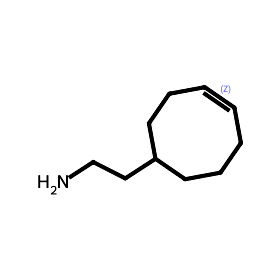 NCCC1CC/C=C\CCC1